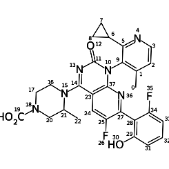 Cc1ccnc(C2CC2)c1-n1c(=O)nc(N2CCN(C(=O)O)CC2C)c2cc(F)c(-c3c(O)cccc3F)nc21